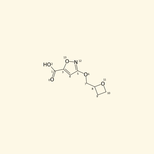 O=C(O)c1cc(OCC2CCO2)no1